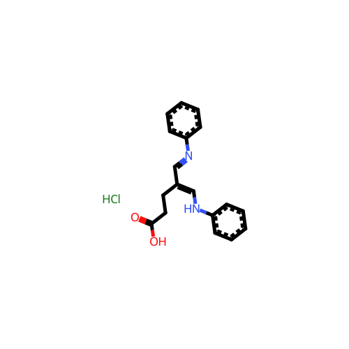 Cl.O=C(O)CCC(C=Nc1ccccc1)=CNc1ccccc1